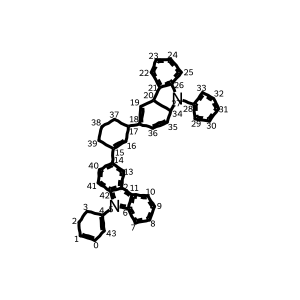 C1=CCCC(n2c3ccccc3c3cc(C4=CC(C5=CC6c7ccccc7N(c7ccccc7)C6C=C5)CCC4)ccc32)=C1